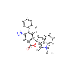 CCc1c(-c2ccccc2)c(N)cc2c1C(CC)(c1c(C)n(CC)c3ccccc13)OC2=O